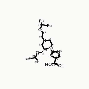 O=C(O)c1cnc(N2CCN(CCOC(F)F)C[C@H]2COC(F)F)s1